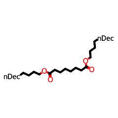 CCCCCCCCCCCCCCOC(=O)CCCCCCC(=O)OCCCCCCCCCCCCCC